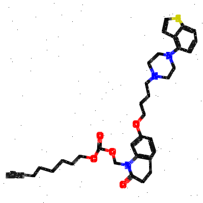 CCCCCCCCCCCCCCCCOC(=O)OCN1C(=O)CCc2ccc(OCCCCN3CCN(c4cccc5sccc45)CC3)cc21